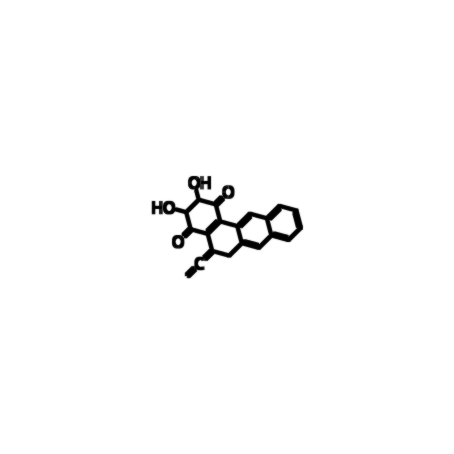 C=C=C1Cc2cc3ccccc3cc2C2=C1C(=O)C(O)C(O)C2=O